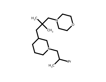 CC(C)C(C)CN1CCCC(CC(C)(C)CN2CCOCC2)C1